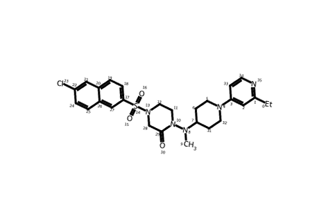 CCc1cc(N2CCC(N(C)N3CCN(S(=O)(=O)c4ccc5cc(Cl)ccc5c4)CC3=O)CC2)ccn1